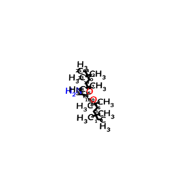 CCC(C)(C)CCC(C)(C)OC[C@H](CN)OC(C)(C)CCC(C)(C)CC